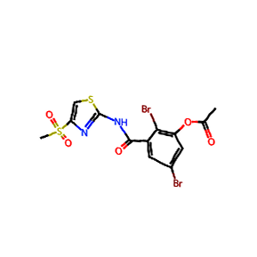 CC(=O)Oc1cc(Br)cc(C(=O)Nc2nc(S(C)(=O)=O)cs2)c1Br